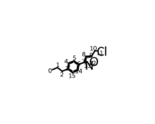 CCCc1ccc(-c2cc(CCl)on2)cc1